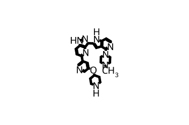 CN1CCN(c2nccc3[nH]c(-c4n[nH]c5ccc(-c6cncc(OC7CCNCC7)c6)nc45)cc23)CC1